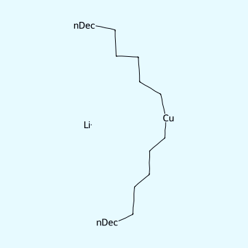 CCCCCCCCCCCCCC[CH2][Cu][CH2]CCCCCCCCCCCCCC.[Li]